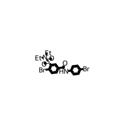 CCN(CC)S(=O)(=O)c1cc(C(=O)Nc2ccc(Br)cc2)ccc1Br